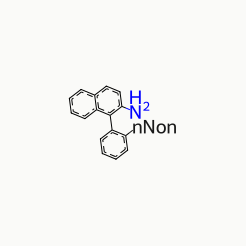 CCCCCCCCCc1ccccc1-c1c(N)ccc2ccccc12